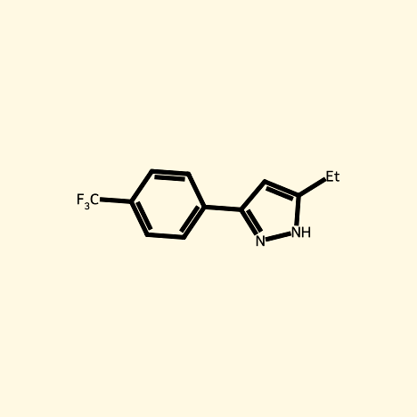 CCc1cc(-c2ccc(C(F)(F)F)cc2)n[nH]1